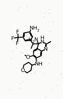 COc1cc2c(cc1NC1CCOCC1)N=C(C)NC2(N)C(C)c1cc(N)cc(C(F)(F)F)c1